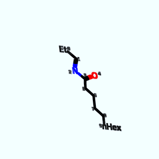 [CH2]CC=NC(=O)CCCCCCCCCC